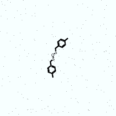 Cc1ccc(CSOSCc2ccc(C)cc2)cc1